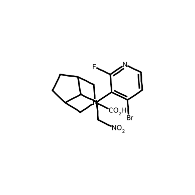 O=C(O)N1CC2CCC(C1)C2C(C[N+](=O)[O-])c1c(Br)ccnc1F